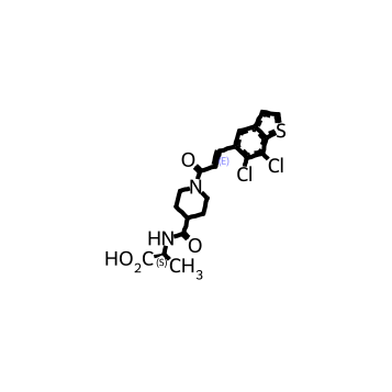 C[C@H](NC(=O)C1CCN(C(=O)/C=C/c2cc3ccsc3c(Cl)c2Cl)CC1)C(=O)O